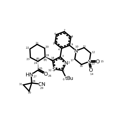 CC(C)(C)c1nc(-c2ccccc2N2CCS(=O)(=O)CC2)c([C@@H]2CCCC[C@H]2C(=O)NC2(C#N)CC2)s1